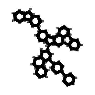 c1ccc(-c2ccc(-c3nc(-n4c5ccc(-c6ccc7sc8ccccc8c7c6)cc5c5c6cccc7c6c(cc54)-c4ccccc4-7)nc4ccc5ccccc5c34)cc2)cc1